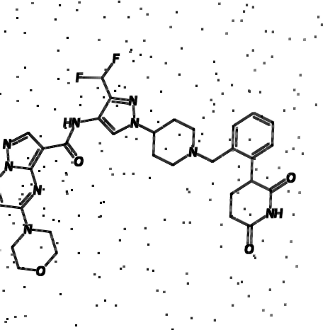 O=C1CCC(c2ccccc2CN2CCC(n3cc(NC(=O)c4cnn5ccc(N6CCOCC6)nc45)c(C(F)F)n3)CC2)C(=O)N1